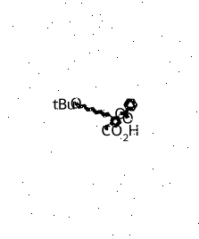 CC(C)(C)OCCCCCCC=C[C@@H]1[C@@H](CC(=O)O)CC[C@H]1OC(=O)c1ccccc1